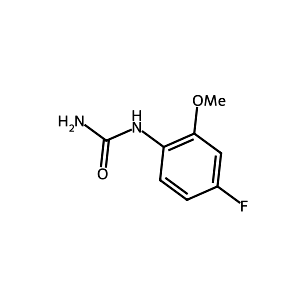 COc1cc(F)ccc1NC(N)=O